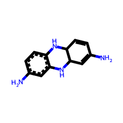 NC1=CC2Nc3cc(N)ccc3NC2C=C1